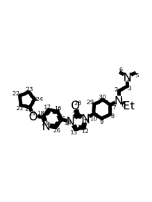 CCN(CCN(C)C)C1CCC(n2ccn(-c3ccc(OC4CCCC4)nc3)c2=O)CC1